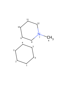 C1CCCCC1.CN1CCCCC1